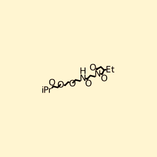 CCC1CC(=O)N(CCC(=O)NCCOCCOCC(=O)C(C)C)C1=O